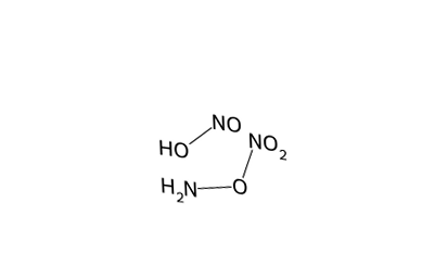 NO[N+](=O)[O-].O=NO